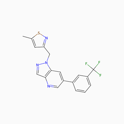 Cc1cc(Cn2ncc3ncc(-c4cccc(C(F)(F)F)c4)cc32)ns1